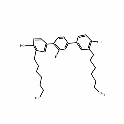 CCCCCCCc1cc(-c2ccc(-c3ccc(O)c(CCCCCCC)c3)c(F)c2)ccc1O